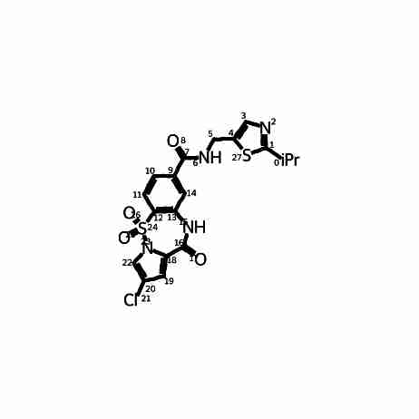 CC(C)c1ncc(CNC(=O)c2ccc3c(c2)NC(=O)c2cc(Cl)cn2S3(=O)=O)s1